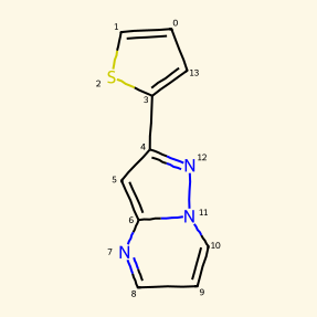 c1csc(-c2cc3ncccn3n2)c1